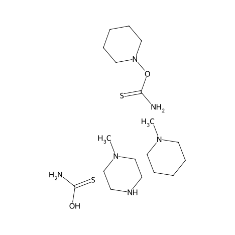 CN1CCCCC1.CN1CCNCC1.NC(=S)ON1CCCCC1.NC(O)=S